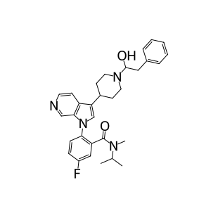 CC(C)N(C)C(=O)c1cc(F)ccc1-n1cc(C2CCN(C(O)Cc3ccccc3)CC2)c2ccncc21